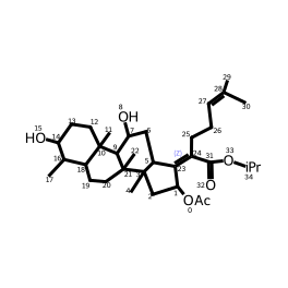 CC(=O)OC1CC2(C)C(CC(O)C3C4(C)CCC(O)C(C)C4CCC32C)/C1=C(\CCC=C(C)C)C(=O)OC(C)C